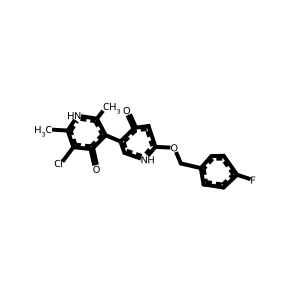 Cc1[nH]c(C)c(-c2c[nH]c(OCc3ccc(F)cc3)cc2=O)c(=O)c1Cl